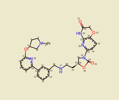 CC(C)N1CCC(Oc2cccc(-c3cccc(CNCC[C@H]4CN(c5ccc6c(n5)NC(=O)CO6)C(=O)O4)c3)n2)C1